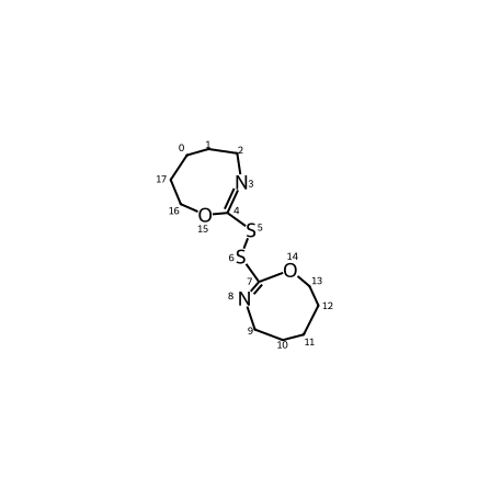 C1CC/N=C(/SS/C2=N/CCCCCO2)OCC1